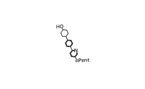 CCCCCc1ccc(-c2ccc(C3CCC(O)CC3)cc2)nc1